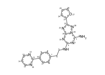 Nc1nc(NCCc2ccc(-c3ncccn3)cc2)nc2nc(-c3ccco3)nn12